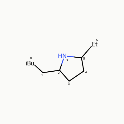 CCC(C)CC1CCC(CC)N1